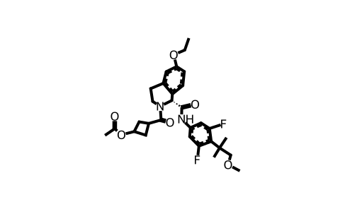 CCOc1ccc2c(c1)CCN(C(=O)C1CC(OC(C)=O)C1)[C@H]2C(=O)Nc1cc(F)c(C(C)(C)COC)c(F)c1